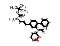 CN(CC=Cc1ccc(-c2ccccc2)c(N(C(=O)O)C23CCN(CC2)CC3)c1)C(=O)OC(C)(C)C